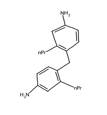 CCCc1cc(N)ccc1Cc1ccc(N)cc1CCC